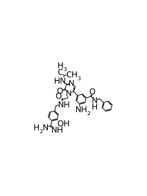 CC(C)Nc1ncc(-c2cc(N)cc(C(=O)NCc3ccccc3)c2)n(CC(=O)NCc2ccc(C(=N)N)c(O)c2)c1=O